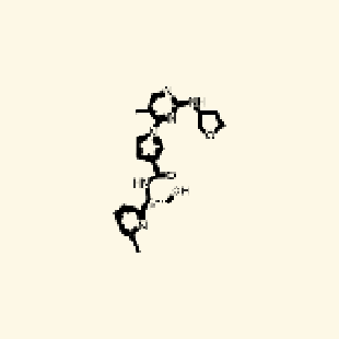 Cc1cccc([C@@H](CO)NC(=O)c2ccn(-c3nc(NC4CCOC4)ncc3C)c2)n1